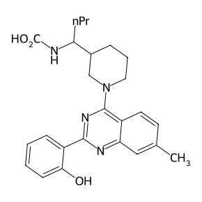 CCCC(NC(=O)O)C1CCCN(c2nc(-c3ccccc3O)nc3cc(C)ccc23)C1